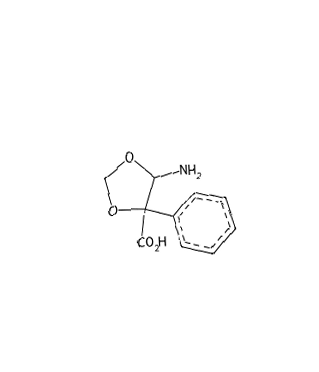 NC1OCOC1(C(=O)O)c1ccccc1